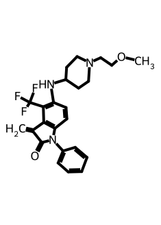 C=C1C(=O)N(c2ccccc2)c2ccc(NC3CCN(CCOC)CC3)c(C(F)(F)F)c21